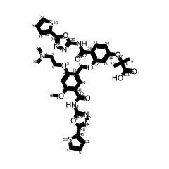 COc1cc(OCCN(C)C)c(COc2cc(OC(C)(C)C(=O)O)ccc2C(=O)Nc2nnc(-c3cccs3)o2)cc1C(=O)Nc1nnc(-c2cccs2)o1